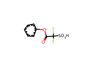 O=C(Oc1ccccc1)C(F)(F)S(=O)(=O)O